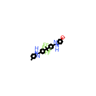 COc1ccc2[nH]c(-c3ccc(C(c4ccc(-c5nc6cc(C)ccc6[nH]5)cc4)(C(F)(F)F)C(F)(F)F)cc3)nc2c1